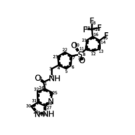 O=C(NCc1ccc(S(=O)(=O)c2ccc(F)c(C(F)(F)F)c2)cc1)c1cnc2[nH]ncc2c1